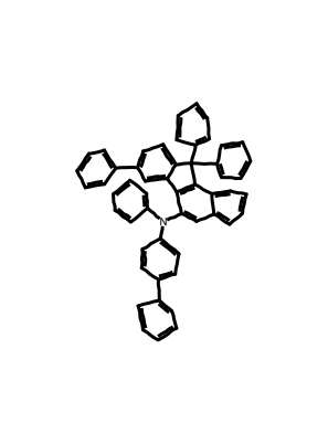 c1ccc(-c2ccc(N(c3ccccc3)c3cc4ccccc4c4c3-c3cc(-c5ccccc5)ccc3C4(c3ccccc3)c3ccccc3)cc2)cc1